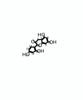 O=C1Cc2c(O)cc(O)cc2OC1c1ccc(O)cc1O